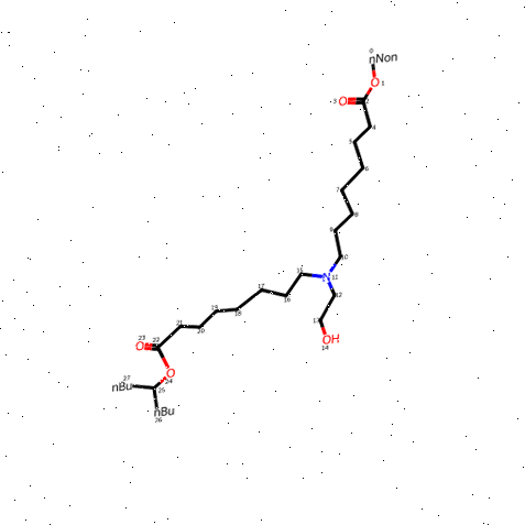 CCCCCCCCCOC(=O)CCCCCCCN(CCO)CCCCCCCC(=O)OC(CCCC)CCCC